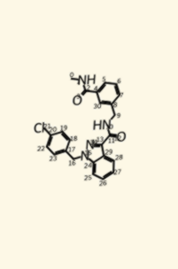 CNC(=O)c1cccc(CNC(=O)c2nn(Cc3ccc(Cl)cc3)c3ccccc23)c1